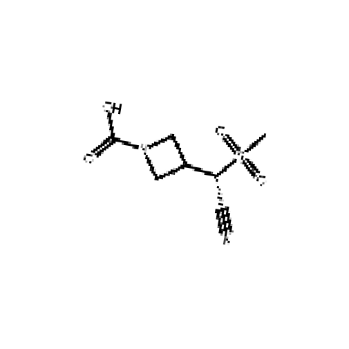 CS(=O)(=O)[C@H](C#N)C1CN(C(=O)O)C1